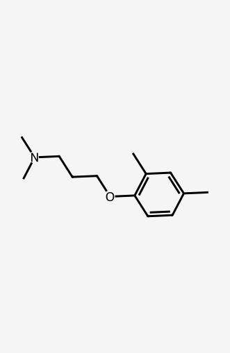 Cc1ccc(OCCCN(C)C)c(C)c1